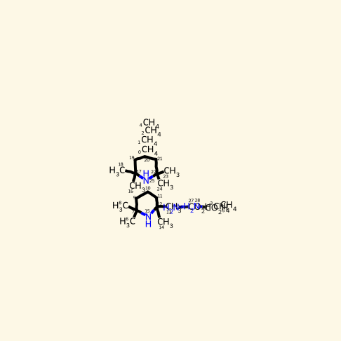 C.C.C.C.C.C.CC1(C)CCCC(C)(C)N1.CC1(C)CCCC(C)(C)N1.NC(=O)O.NC(=O)O